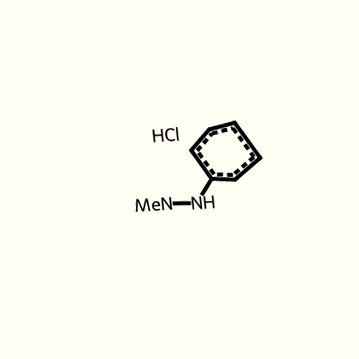 CNNc1ccccc1.Cl